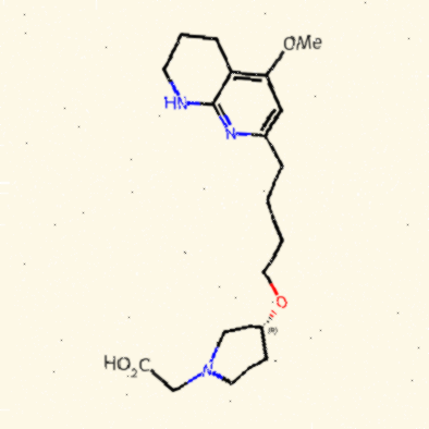 COc1cc(CCCCO[C@@H]2CCN(CC(=O)O)C2)nc2c1CCCN2